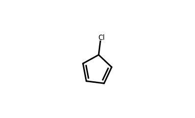 ClC1C=CC=C1